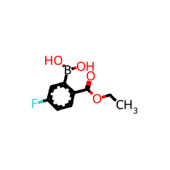 CCOC(=O)c1ccc(F)cc1B(O)O